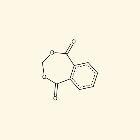 O=C1OCOC(=O)c2ccccc21